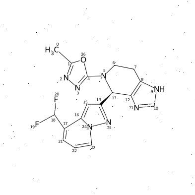 Cc1nnc(N2CCc3[nH]cnc3[C@H]2c2cc3c(C(F)F)cccn3n2)o1